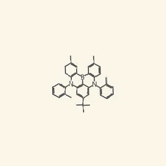 CC1=CC2=C(CC1)N(c1ccccc1C)c1cc(C(C)(C)C)cc3c1B2c1cc(C)ccc1N3c1ccccc1C